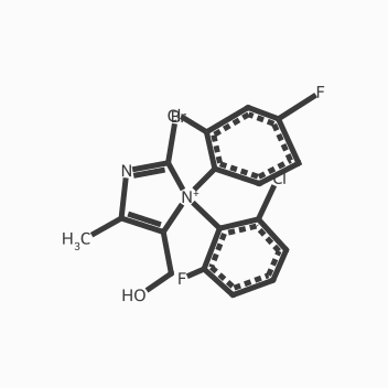 CC1=C(CO)[N+](c2ccc(F)cc2Cl)(c2c(F)cccc2Cl)C(Br)=N1